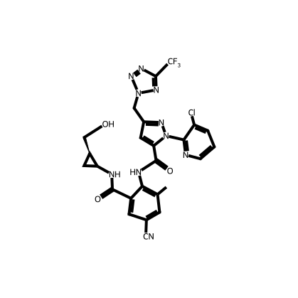 Cc1cc(C#N)cc(C(=O)NC2C[C@H]2CO)c1NC(=O)c1cc(Cn2nnc(C(F)(F)F)n2)nn1-c1ncccc1Cl